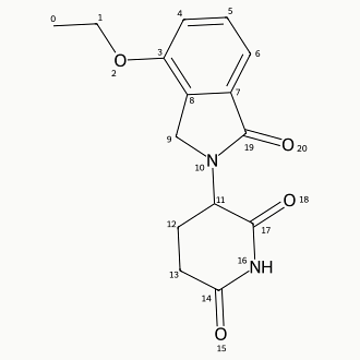 CCOc1cccc2c1CN(C1CCC(=O)NC1=O)C2=O